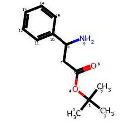 CC(C)(C)OC(=O)CC(N)c1ccccc1